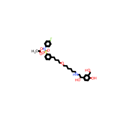 CC(=O)ON(c1ccc(F)cc1)S(=O)(=O)c1cccc(CCCCOCCCCCCNC[C@@H](O)c2ccc(O)c(CO)c2)c1